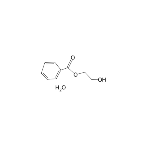 O.O=C(OCCO)c1ccccc1